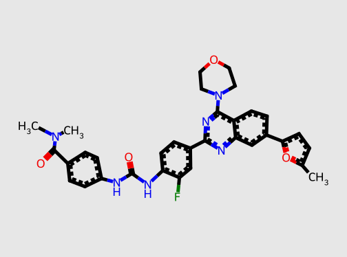 Cc1ccc(-c2ccc3c(N4CCOCC4)nc(-c4ccc(NC(=O)Nc5ccc(C(=O)N(C)C)cc5)c(F)c4)nc3c2)o1